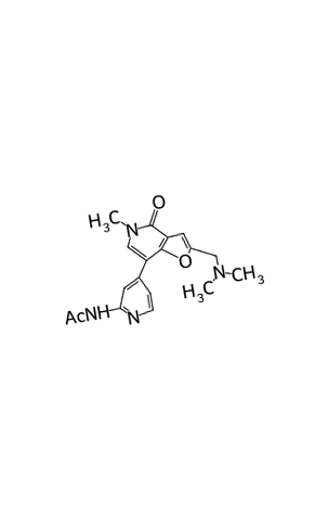 CC(=O)Nc1cc(-c2cn(C)c(=O)c3cc(CN(C)C)oc23)ccn1